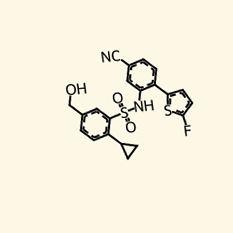 N#Cc1ccc(-c2ccc(F)s2)c(NS(=O)(=O)c2cc(CO)ccc2C2CC2)c1